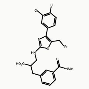 CNC(=O)c1cccc(CC(CNc2nc(-c3ccc(Cl)c(Cl)c3)c(CC(C)C)s2)C(=O)O)c1